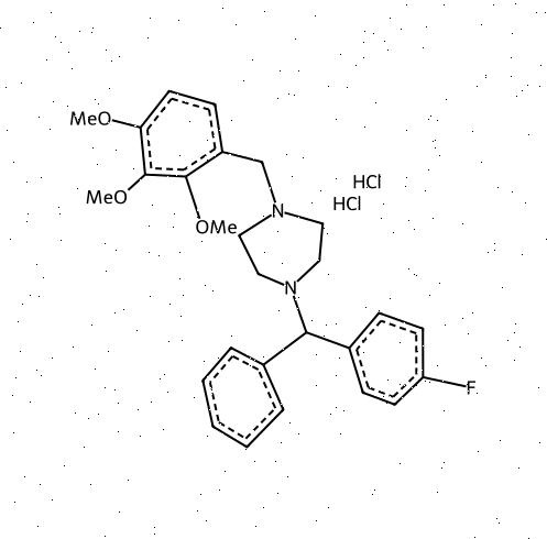 COc1ccc(CN2CCN(C(c3ccccc3)c3ccc(F)cc3)CC2)c(OC)c1OC.Cl.Cl